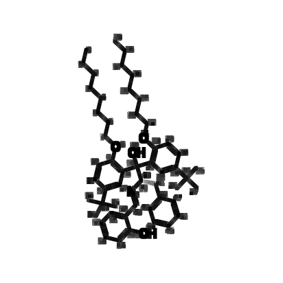 CCCCCCCCOc1ccc(C(C)(C)C)cc1C(O)(c1cc(C(C)(C)C)ccc1OCCCCCCCC)[C@H](Cc1ccccc1)N=Cc1ccccc1O